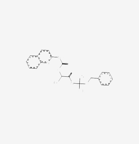 CCC(C)C(OC(=O)Nc1ccc2ccccc2n1)C(=O)NC(C)(C#N)OCc1ccccc1